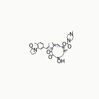 C/C(=C\c1ccc(C)c(N2CCCC2=O)c1)[C@H]1C(=O)C(=O)C[C@H](O)CC[C@H](C)[C@@H](OC(=O)N2CCN(C)CC2)/C=C/[C@@H]1C